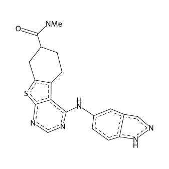 CNC(=O)C1CCc2c(sc3ncnc(Nc4ccc5[nH]ncc5c4)c23)C1